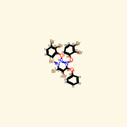 BrC1=C(Br)N(Br)N(Oc2cccc(Br)c2Br)N(Oc2cccc(Br)c2Br)C1Oc1ccccc1